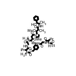 CCC(=O)NC(C(=O)NCC(=O)Nc1ccc(COC(=O)N(C)C(C(=O)NCC(=O)N(C)C([C@@H](C)CC)[C@@H](CC(=O)N2CCC[C@H]2[C@H](OC)[C@@H](C)C(=O)N[C@H](C)[C@@H](O)c2ccccc2)OC)C(C)C)cc1)C(C)C